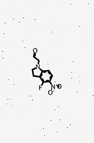 O=CCN1CCc2c1ccc([N+](=O)[O-])c2F